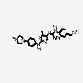 C\C=C(/C=C\C=C\CCC)N/C(CCC)=N/c1cnc(Nc2ccc(N3CCN(C)CC3)cc2)nc1C